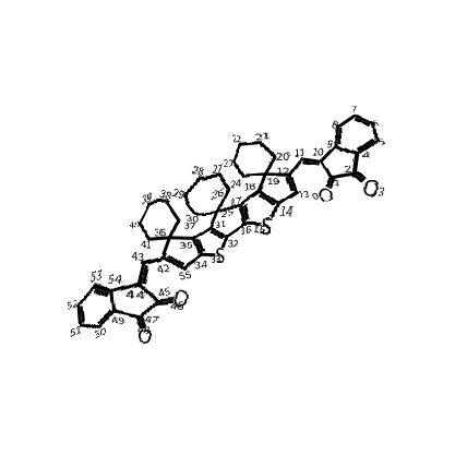 O=C1C(=O)c2ccccc2/C1=C/C1=Cc2sc3c(c2C12CCCCC2)C1(CCCCC1)c1c-3sc2c1C1(CCCCC1)C(/C=C1\C(=O)C(=O)c3ccccc31)=C2